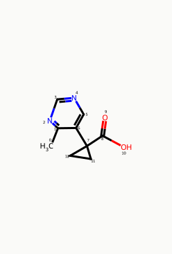 Cc1ncncc1C1(C(=O)O)CC1